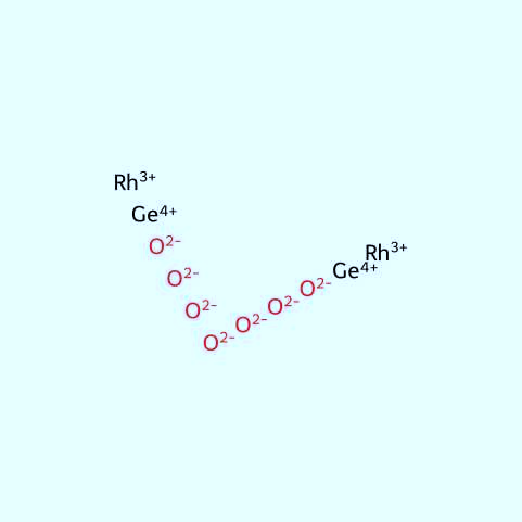 [Ge+4].[Ge+4].[O-2].[O-2].[O-2].[O-2].[O-2].[O-2].[O-2].[Rh+3].[Rh+3]